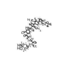 CCC(CCN(CC(=O)O)CC1CNC1)C(=O)N1CCN(C(=O)c2ccc(NC(=O)c3ncc(-c4ccc(-c5cnn(CCOC(F)F)c5C)c(F)c4C)n3C)cc2Cl)CC1